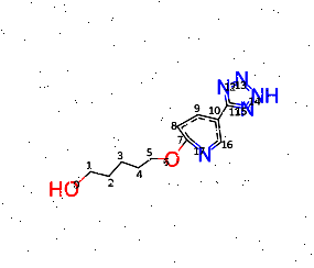 OCCCCCOc1ccc(-c2nn[nH]n2)cn1